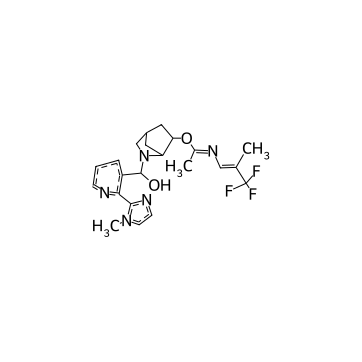 C/C(=C\N=C(/C)OC1CC2CC1N(C(O)c1cccnc1-c1nccn1C)C2)C(F)(F)F